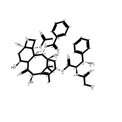 CC(=O)O[C@@]12CO[C@@H]1C[C@H](O)C1C(=O)[C@H](O)C3=C(C)[C@@H](OC(=O)[C@H](OC(=O)CCl)[C@@H](N)c4ccccc4)C[C@@](O)([C@@H](OC(=O)c4ccccc4)[C@@H]12)C3(C)C